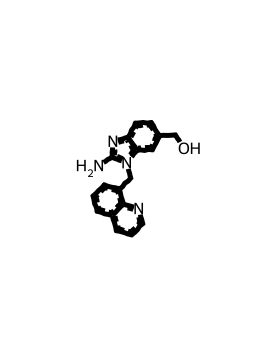 Nc1nc2ccc(CO)cc2n1Cc1cccc2cccnc12